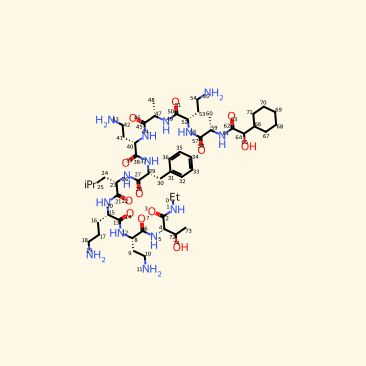 CCNC(=O)[C@@H](NC(=O)[C@H](CCN)NC(=O)[C@H](CCCN)NC(=O)[C@H](CC(C)C)NC(=O)[C@@H](Cc1ccccc1)NC(=O)[C@H](CCN)NC(=O)[C@H](C)NC(=O)[C@H](CCN)NC(=O)[C@H](C)NC(=O)C(O)C1CCCCC1)C(C)O